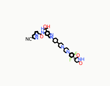 CC(C)(O)c1cc2nn(C3CCC(C4CCN(C5CCN(c6cc(F)c([C@H]7CCC(=O)NC7=O)c(F)c6)CC5)CC4)CC3)cc2cc1NC(=O)c1ccc2cc(C#N)cnn12